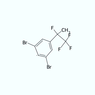 CC(F)(c1cc(Br)[c]c(Br)c1)C(F)(F)F